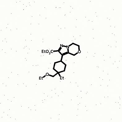 CCOCC1(CC)CCC(c2c(C(=O)OCC)nn3c2COCC3)CC1